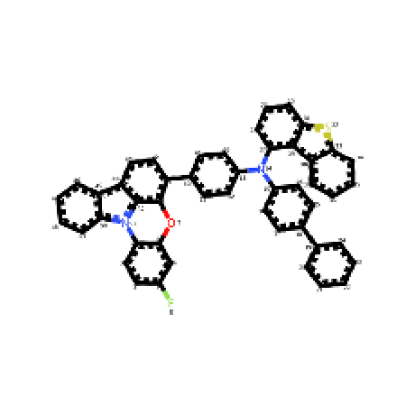 Fc1ccc2c(c1)Oc1c(-c3ccc(N(c4ccc(-c5ccccc5)cc4)c4cccc5sc6ccccc6c45)cc3)ccc3c4ccccc4n-2c13